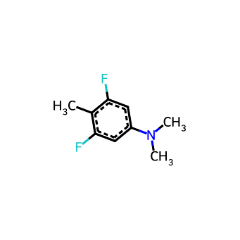 Cc1c(F)cc(N(C)C)cc1F